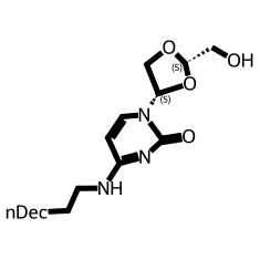 CCCCCCCCCCCCNc1ccn([C@@H]2CO[C@H](CO)O2)c(=O)n1